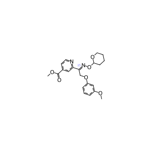 COC(=O)c1ccnc(/C(COc2cccc(OC)c2)=N/OC2CCCCO2)c1